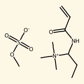 C=CC(=O)NC(CC)[N+](C)(C)C.COS(=O)(=O)[O-]